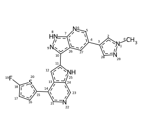 Cn1cc(-c2cnc3[nH]nc(-c4cc5c(-c6ccc(F)s6)cncc5[nH]4)c3c2)cn1